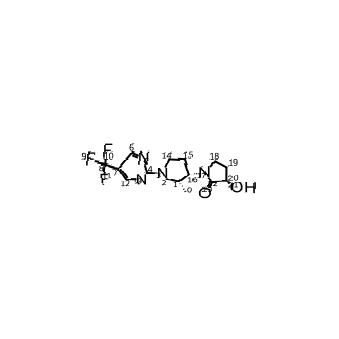 C[C@@H]1CN(c2ncc(C(F)(F)F)cn2)CC[C@@H]1N1CC[C@@H](O)C1=O